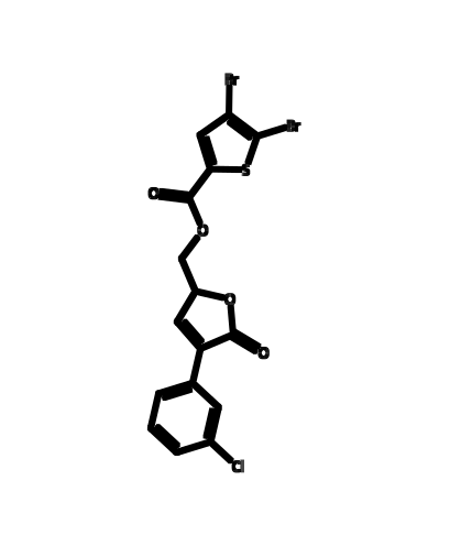 O=C1OC(COC(=O)c2cc(Br)c(Br)s2)C=C1c1cccc(Cl)c1